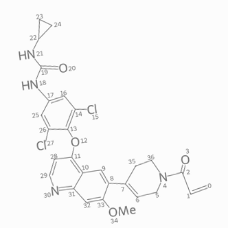 C=CC(=O)N1CC=C(c2cc3c(Oc4c(Cl)cc(NC(=O)NC5CC5)cc4Cl)ccnc3cc2OC)CC1